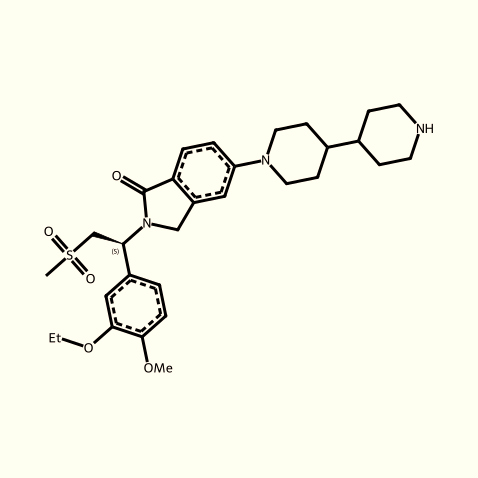 CCOc1cc([C@@H](CS(C)(=O)=O)N2Cc3cc(N4CCC(C5CCNCC5)CC4)ccc3C2=O)ccc1OC